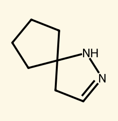 C1=NNC2(C1)CCCC2